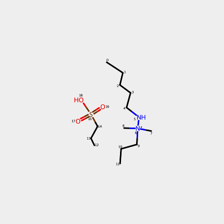 CCCCCN[N+](C)(C)CCC.CCCS(=O)(=O)O